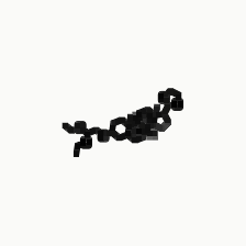 CCOC(COC1CC[C@@]2(C)C(CC[C@@H]3[C@H]2CC[C@]2(C)C(C4OCCO4)CC[C@@]32O)C1)OCC